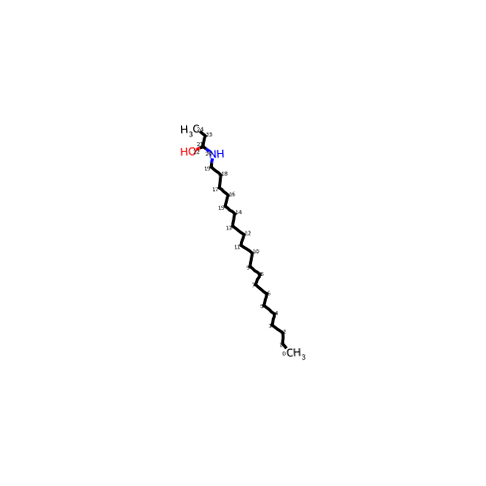 CCCCCCCCCCCCCCCCCCCCNC(O)CC